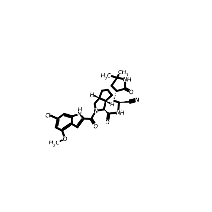 COc1cc(Cl)cc2[nH]c(C(=O)N3C[C@@H]4CCC[C@@H]4[C@H]3C(=O)N[C@H](C#N)C[C@@H]3CC(C)(C)NC3=O)cc12